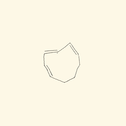 [C]1=C/C=C\CCC\C=C/1